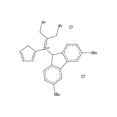 CC(C)C[C](CC(C)C)=[Zr+2]([C]1=CC=CC1)[CH]1c2ccc(C(C)(C)C)cc2-c2cc(C(C)(C)C)ccc21.[Cl-].[Cl-]